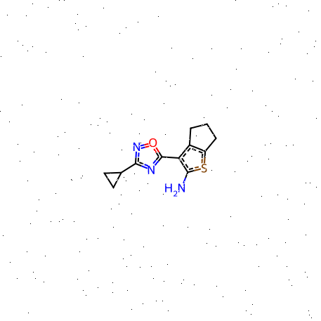 Nc1sc2c(c1-c1nc(C3CC3)no1)CCC2